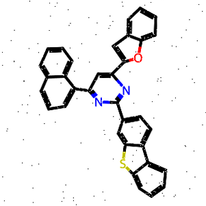 c1ccc2oc(-c3cc(-c4cccc5ccccc45)nc(-c4ccc5c(c4)sc4ccccc45)n3)cc2c1